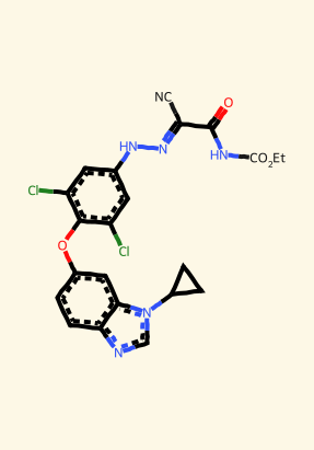 CCOC(=O)NC(=O)/C(C#N)=N/Nc1cc(Cl)c(Oc2ccc3ncn(C4CC4)c3c2)c(Cl)c1